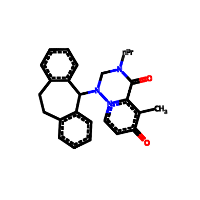 CCCN1CN(C2c3ccccc3CCc3ccccc32)n2ccc(=O)c(C)c2C1=O